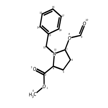 COC(=O)C1CCC(OC=O)N1Cc1ccccc1